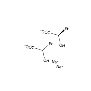 CCC(O)C(=O)[O-].CC[C@@H](O)C(=O)[O-].[Na+].[Na+]